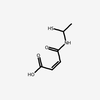 CC(S)NC(=O)/C=C\C(=O)O